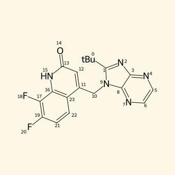 CC(C)(C)c1nc2nccnc2n1Cc1cc(=O)[nH]c2c(F)c(F)ccc12